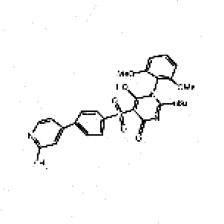 CCCCc1nc(=O)c(S(=O)(=O)c2ccc(-c3ccnc(C)c3)cc2)c(O)n1-c1c(OC)cccc1OC